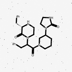 CC(C)CC(C(=O)N1CCCC(N2CCNC2=O)C1)N1CCN[C@@H](CC(C)C)C1=O